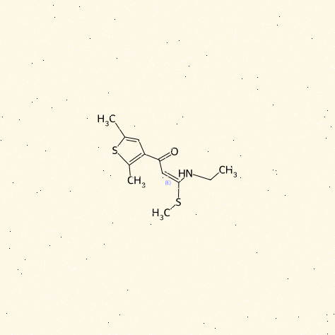 CCN/C(=C\C(=O)c1cc(C)sc1C)SC